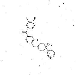 O=C(c1ccc(F)c(F)c1)c1ccc(CN2CCC3(CC2)OCc2ccncc23)c(F)c1